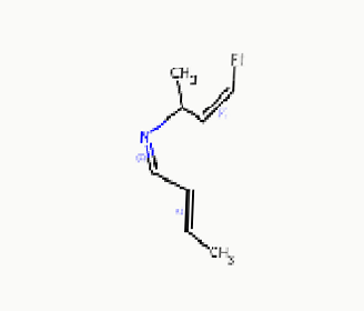 C/C=C/C=N\C(C)/C=C\CC